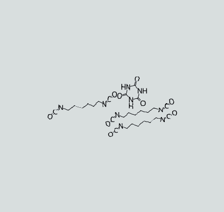 O=C=NCCCCCCN=C=O.O=C=NCCCCCCN=C=O.O=C=NCCCCCCN=C=O.O=c1[nH]c(=O)[nH]c(=O)[nH]1